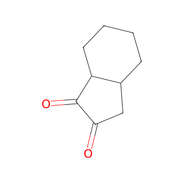 O=C1CC2CCCCC2C1=O